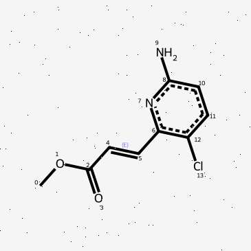 COC(=O)/C=C/c1nc(N)ccc1Cl